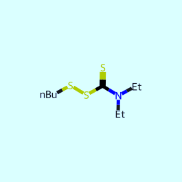 CCCCSSC(=S)N(CC)CC